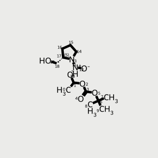 CC(OC(=O)OC(C)(C)C)O[NH+]([O-])N1CCC[C@H]1CO